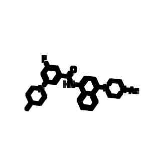 CC(=O)N1CCN(c2ccc(NC(=O)c3cc(F)cc(N4CCC(C)CC4)c3)c3ccccc23)CC1